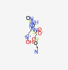 Cc1cc(N(CCCCC[N+](C)(C)CCO)c2nc(C(=O)[O-])c(CCCOc3ccc(C#CCN(C)C)cc3F)s2)nnc1Nc1nc2ccccc2s1